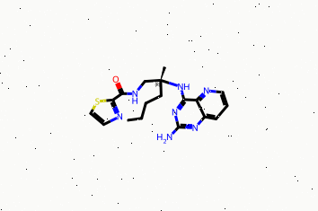 CCCC[C@](C)(CNC(=O)c1nccs1)Nc1nc(N)nc2cccnc12